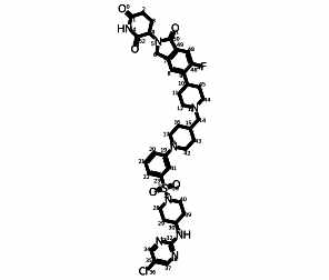 O=C1CCC(N2Cc3cc(C4CCN(CC5CCN(c6cccc(S(=O)(=O)N7CCC(Nc8ncc(Cl)cn8)CC7)c6)CC5)CC4)c(F)cc3C2=O)C(=O)N1